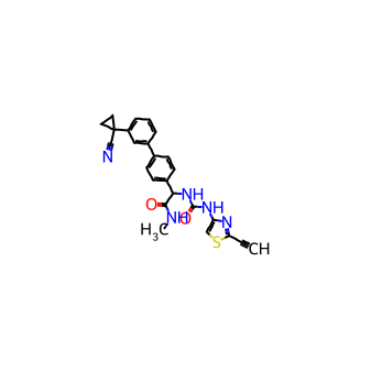 C#Cc1nc(NC(=O)NC(C(=O)NC)c2ccc(-c3cccc(C4(C#N)CC4)c3)cc2)cs1